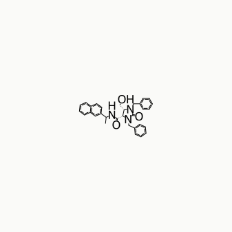 CC(NC(=O)[C@@H]1[C@H](CO)N(Cc2ccccc2)C(=O)N1Cc1ccccc1)c1ccc2ccccc2c1